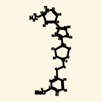 COc1cc(CCN2CCN(c3nc(-c4ccnc(C)n4)ns3)CC2)ccn1